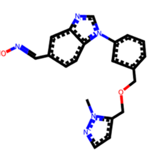 Cn1nccc1COCc1cccc(-n2cnc3cc(C=NO)ccc32)c1